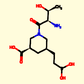 C[C@@H](O)[C@H](N)C(=O)N1C[C@@H](CCB(O)O)C[C@H](C(=O)O)C1